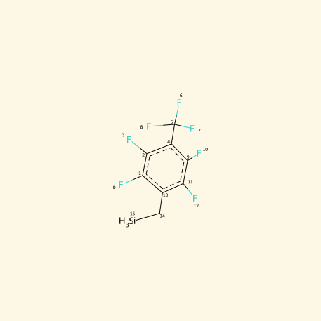 Fc1c(F)c(C(F)(F)F)c(F)c(F)c1C[SiH3]